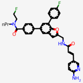 CCCN(CCF)C(=O)c1ccc(-c2cc(-c3ccc(F)cc3)c3oc(CNC(=O)/C=C/c4ccc(N)nc4)cc3c2)cc1